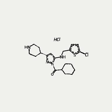 Cl.O=C(C1CCCCC1)n1nc(C2CCNCC2)cc1NCc1ccc(Cl)s1